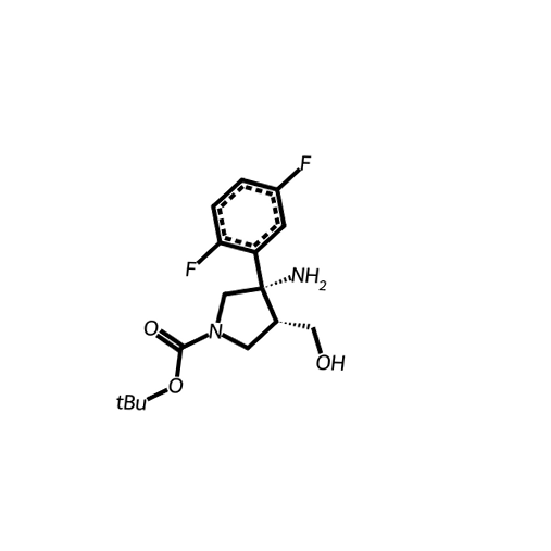 CC(C)(C)OC(=O)N1C[C@@H](CO)[C@](N)(c2cc(F)ccc2F)C1